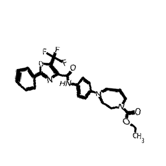 CCOC(=O)N1CCCN(c2ccc(NC(=O)c3nc(-c4ccccc4)oc3C(F)(F)F)cc2)CC1